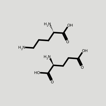 NCCC[C@H](N)C(=O)O.N[C@@H](CCC(=O)O)C(=O)O